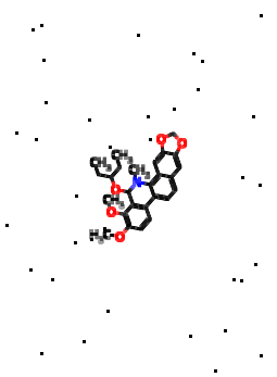 CCC(CC)OC1c2c(ccc(OC)c2OC)-c2ccc3cc4c(cc3c2N1C)OCO4